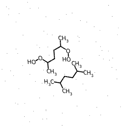 CC(C)CCC(C)C.CC(CCC(C)OO)OO